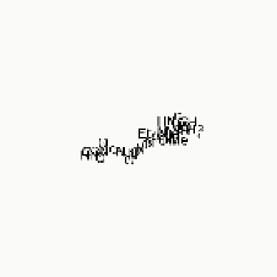 CCc1cc(Nc2ncc(Br)c(Nc3cnc4ccccc4c3P(C)(C)=O)n2)c(OC)cc1N1CCC(N2CCN(C(=O)C3CN(c4ccc5c(c4)CN(C4CCC(=O)NC4=O)C5=O)C3)CC2)CC1